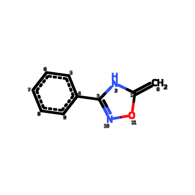 C=C1NC(c2ccccc2)=NO1